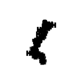 O=C(N[C@H]1CCCN(C(=O)COc2cccc([C@](O)(C(=O)OCC3CCN(Cc4ccccc4)CC3)c3ccccc3)c2)C1)c1ccc(CNC[C@H](O)c2ccc(O)c3[nH]c(=O)ccc23)cc1